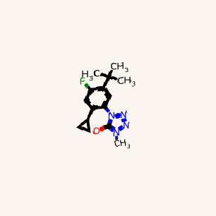 Cn1nnn(-c2cc(C(C)(C)C)c(F)cc2C2CC2)c1=O